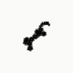 C=C/C=C\C=C\c1ccc(N(c2ccccc2)c2ccc(-c3ccc(-c4ccc(N(c5ccccc5)c5ccc(-c6ccccc6)cc5-c5ccccc5)cc4)cc3)cc2)c(-c2ccccc2)c1